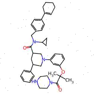 CC(C)(Oc1cccc(N2CC(C(=O)N(Cc3ccc(C4=CCCCC4)cc3)C3CC3)CC(c3ccccc3)C2)c1)C(=O)N1CCNCC1